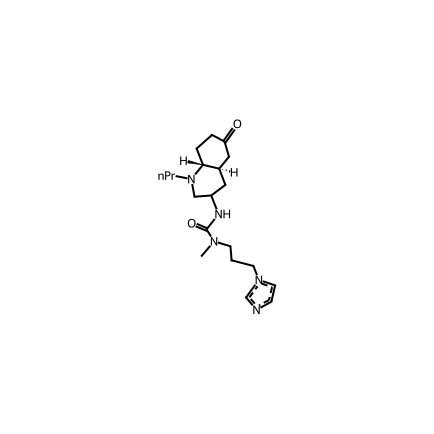 CCCN1CC(NC(=O)N(C)CCCn2ccnc2)C[C@@H]2CC(=O)CC[C@H]21